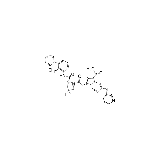 CC(=O)c1nn(CC(=O)N2C[C@H](F)C[C@H]2C(=O)Nc2cccc(-c3ccccc3Cl)c2F)c2ccc(Nc3cccnn3)cc12